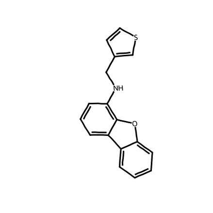 c1ccc2c(c1)oc1c(NCc3ccsc3)cccc12